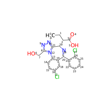 CCCC(=O)O.OCc1nnc2n1-c1ccc(Cl)cc1C(c1ccccc1Cl)=NC2